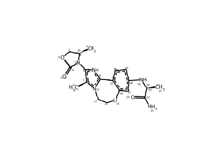 Cc1c(N2C(=O)OC[C@H]2C(F)(F)F)nc2n1CCOc1cc(N[C@@H](C)C(N)=O)ccc1-2